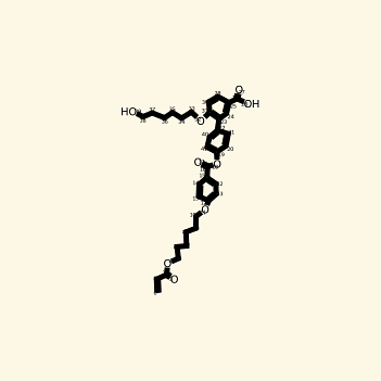 C=CC(=O)OCCCCCCOc1ccc(C(=O)Oc2ccc(-c3cc(C(=O)O)ccc3OCCCCCCO)cc2)cc1